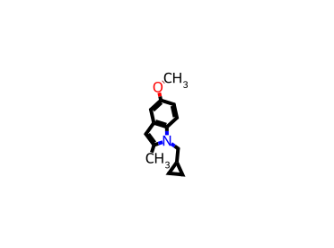 COc1ccc2c(c1)cc(C)n2CC1CC1